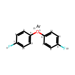 Fc1ccc(Oc2ccc(F)cc2)cc1.[Ar]